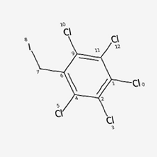 Clc1c(Cl)c(Cl)c(CI)c(Cl)c1Cl